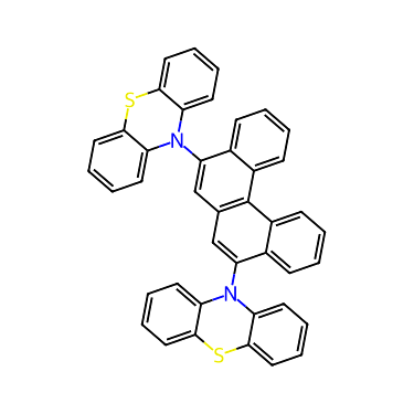 c1ccc2c(c1)Sc1ccccc1N2c1cc2cc(N3c4ccccc4Sc4ccccc43)c3ccccc3c2c2ccccc12